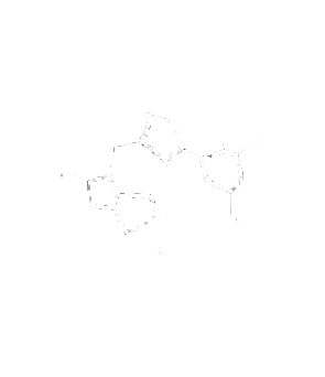 CCCc1cc2c(C(F)(F)F)c(C#N)ccc2n1Cc1noc(-c2cc(C#N)cc(Cl)c2F)n1